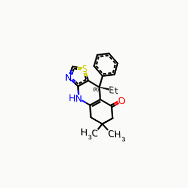 CC[C@@]1(c2ccccc2)C2=C(CC(C)(C)CC2=O)Nc2ncsc21